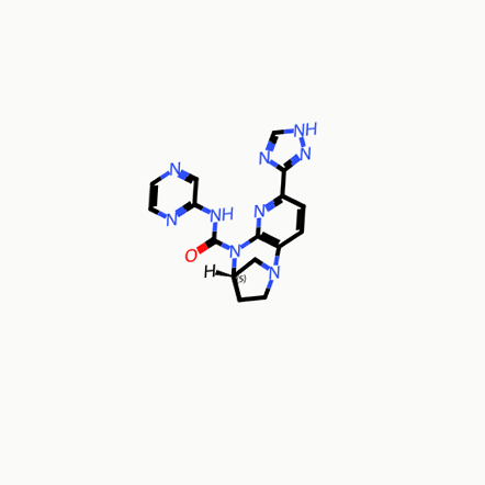 O=C(Nc1cnccn1)N1c2nc(-c3nc[nH]n3)ccc2N2CC[C@H]1C2